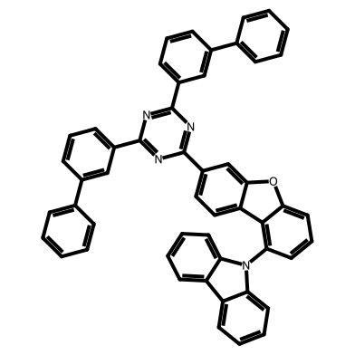 c1ccc(-c2cccc(-c3nc(-c4cccc(-c5ccccc5)c4)nc(-c4ccc5c(c4)oc4cccc(-n6c7ccccc7c7ccccc76)c45)n3)c2)cc1